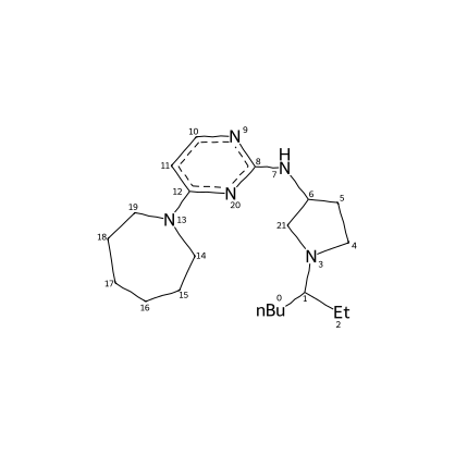 CCCCC(CC)N1CCC(Nc2nccc(N3CCCCCC3)n2)C1